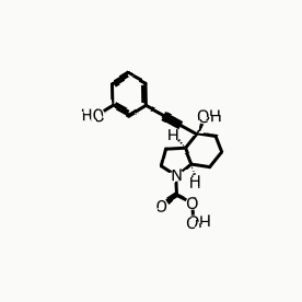 O=C(OO)N1CC[C@@H]2[C@H]1CCC[C@@]2(O)C#Cc1cccc(O)c1